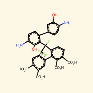 Nc1ccc(-c2ccc(N)c(O)c2C(F)(c2ccc(C(=O)O)c(C(=O)O)c2-c2ccc(C(=O)O)c(C(=O)O)c2)C(F)(F)C(F)(F)F)cc1O